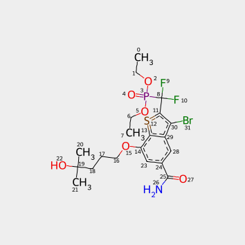 CCOP(=O)(OCC)C(F)(F)c1sc2c(OCCCC(C)(C)O)cc(C(N)=O)cc2c1Br